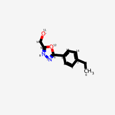 CCc1ccc(-c2nnc(C[O])o2)cc1